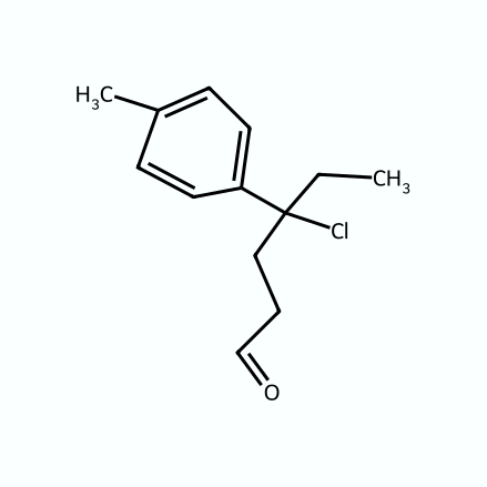 CCC(Cl)(CCC=O)c1ccc(C)cc1